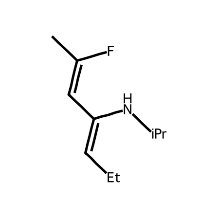 CC/C=C(/C=C(/C)F)NC(C)C